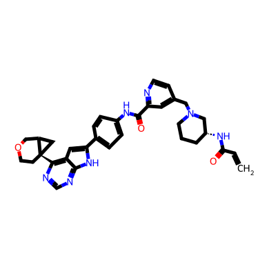 C=CC(=O)N[C@@H]1CCCN(Cc2ccnc(C(=O)Nc3ccc(-c4cc5c([C@@]67CCOCC6C7)ncnc5[nH]4)cc3)c2)C1